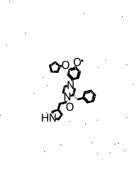 COc1ccc(N2CCN(C(=O)CC3CCNC3)[C@@H](Cc3ccccc3)C2)cc1OC1CCCC1